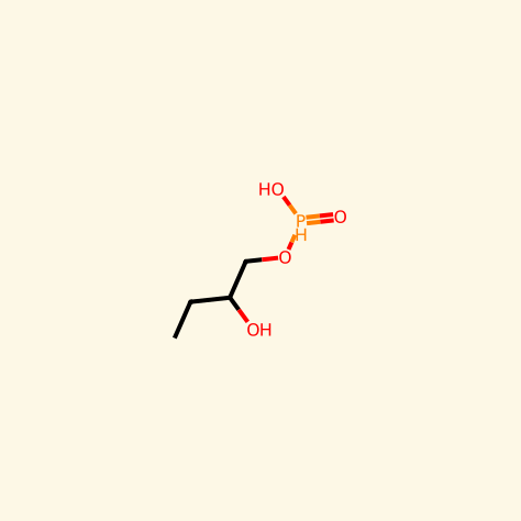 CCC(O)CO[PH](=O)O